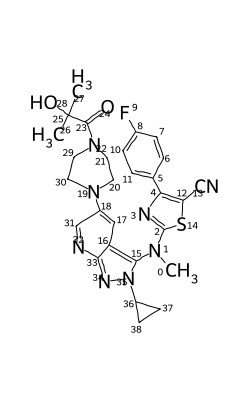 CN(c1nc(-c2ccc(F)cc2)c(C#N)s1)c1c2cc(N3CCN(C(=O)C(C)(C)O)CC3)cnc2nn1C1CC1